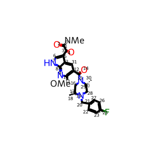 CNC(=O)C(=O)c1c[nH]c2nc(OC)c(C(=O)N3C[C@H](C)N(Cc4ccc(F)cc4)C[C@H]3C)cc12